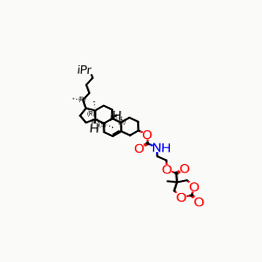 CC(C)CCC[C@@H](C)C1CC[C@H]2[C@]3(C)CC=C4CC(OC(=O)NCCOC(=O)C5(C)COC(=O)OC5)CC[C@]4(C)[C@H]3CC[C@]12C